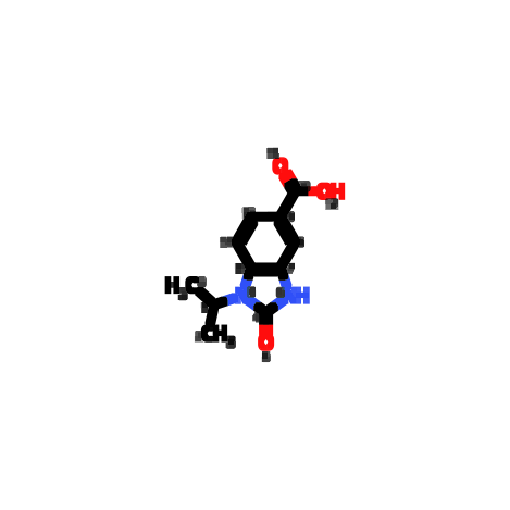 CC(C)n1c(=O)[nH]c2cc(C(=O)O)ccc21